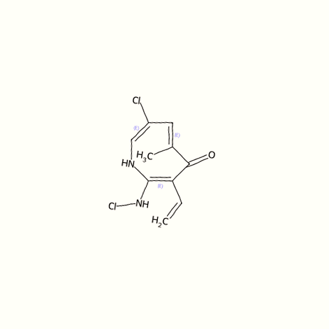 C=C/C1=C(\NCl)N/C=C(Cl)\C=C(/C)C1=O